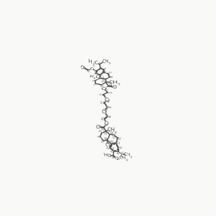 CC(C)c1cc2c(cc1OC=O)C1(C)CCCC(C)(C(=O)OCCOCCOCCOC(=O)C3(C)CCCC4(C)c5cc(C(=O)O)c(C(C)C)cc5CCC34)C1CC2